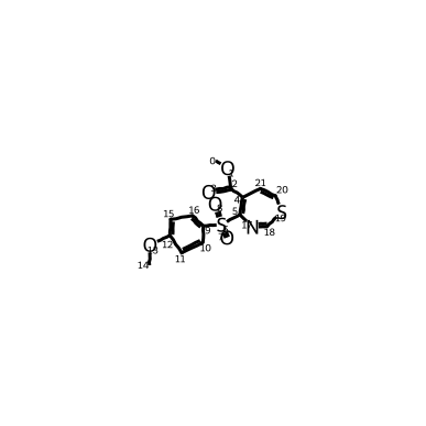 COC(=O)C1=C(S(=O)(=O)c2ccc(OC)cc2)N=CSC=C1